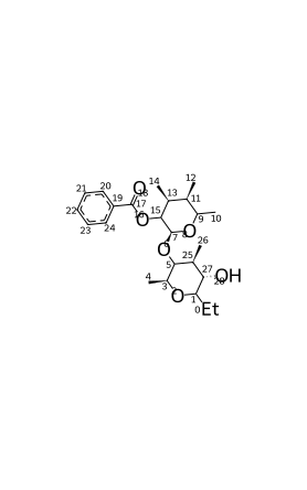 CCC1O[C@@H](C)C(O[C@@H]2OC(C)[C@H](C)[C@H](C)C2OC(=O)c2ccccc2)[C@@H](C)[C@@H]1O